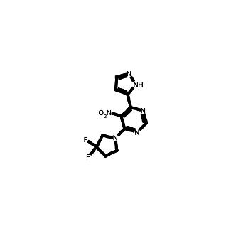 O=[N+]([O-])c1c(-c2ccn[nH]2)ncnc1N1CCC(F)(F)C1